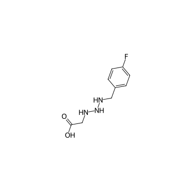 O=C(O)CNNNCc1ccc(F)cc1